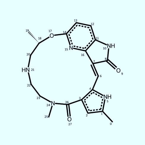 Cc1cc2c([nH]1)/C=C1\C(=O)Nc3ccc(nc31)O[C@@H](C)CNCCN(C)C2=O